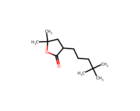 CC(C)(C)CCCC1CC(C)(C)OC1=O